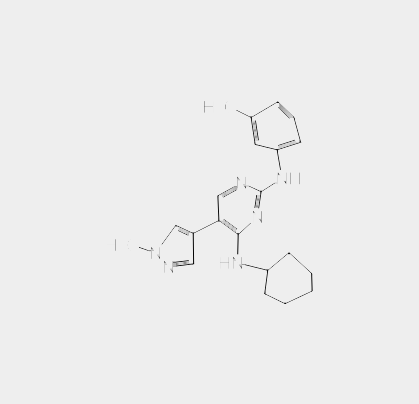 Cc1cccc(Nc2ncc(-c3cnn(C)c3)c(NC3CCCCC3)n2)c1